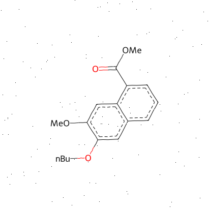 CCCCOc1cc2cccc(C(=O)OC)c2cc1OC